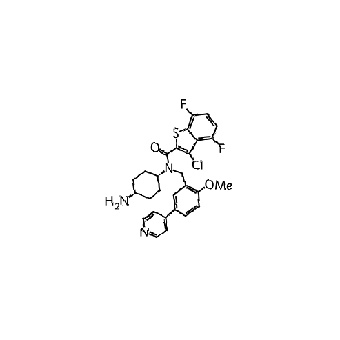 COc1ccc(-c2ccncc2)cc1CN(C(=O)c1sc2c(F)ccc(F)c2c1Cl)[C@H]1CC[C@@H](N)CC1